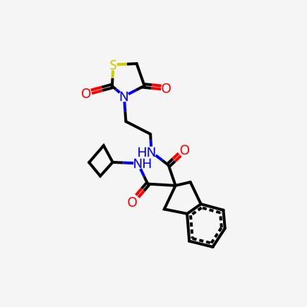 O=C1CSC(=O)N1CCNC(=O)C1(C(=O)NC2CCC2)Cc2ccccc2C1